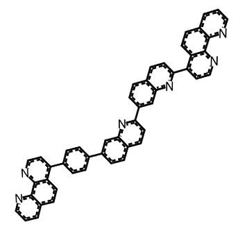 c1cnc2c(c1)ccc1c(-c3ccc(-c4ccc5ccc(-c6ccc7ccc(-c8ccnc9c8ccc8cccnc89)nc7c6)nc5c4)cc3)ccnc12